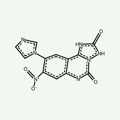 O=c1[nH]c2c3cc(-n4ccnc4)c([N+](=O)[O-])cc3nc(=O)n2[nH]1